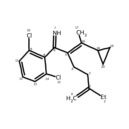 C=C(CC)CC/C(C(=N)c1c(Cl)cccc1Cl)=C(/C)C1CC1